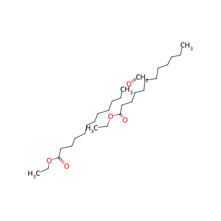 C=O.CCCCCCCCCCCC(=O)OCC.CCCCCCCCCCCC(=O)OCC